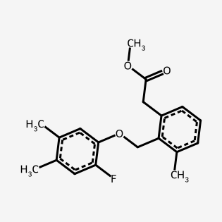 COC(=O)Cc1cccc(C)c1COc1cc(C)c(C)cc1F